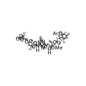 C#CC(COC(=O)CC(C)(C)c1c(C)cc(C)cc1OC(C)=O)(OC)[C@@H](O)Cn1cnc2c(NC(=O)OC(C)(C)CC(=O)OCc3oc(=O)oc3C)nc(F)nc21